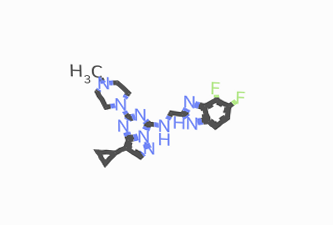 CN1CCN(c2nc(NCc3nc4c(F)c(F)ccc4[nH]3)n3ncc(C4CC4)c3n2)CC1